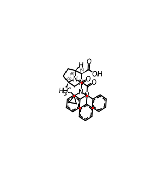 CC1(N(Cc2ccccc2)C(=O)N2[C@H]3CC[C@@H]2[C@@H](C(=O)O)N(C(=O)N(c2ccccc2)c2ccccc2)C3)CC1